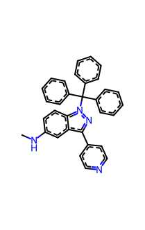 CNc1ccc2c(c1)c(-c1ccncc1)nn2C(c1ccccc1)(c1ccccc1)c1ccccc1